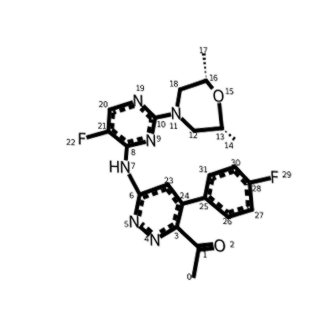 CC(=O)c1nnc(Nc2nc(N3C[C@@H](C)O[C@@H](C)C3)ncc2F)cc1-c1ccc(F)cc1